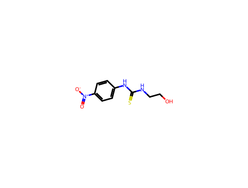 O=[N+]([O-])c1ccc(NC(=S)NCCO)cc1